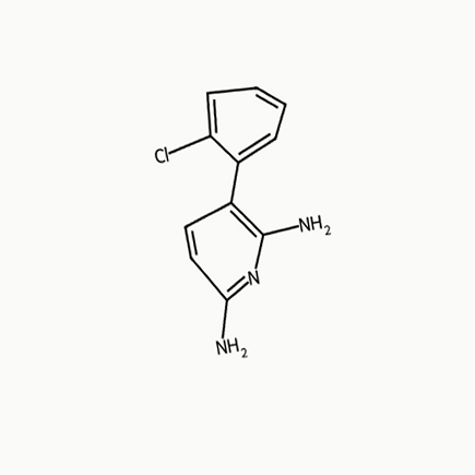 Nc1ccc(-c2ccccc2Cl)c(N)n1